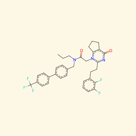 CCCN(Cc1ccc(-c2ccc(C(F)(F)F)cc2)cc1)C(=O)Cn1c(CCc2cccc(F)c2F)nc(=O)c2c1CCC2